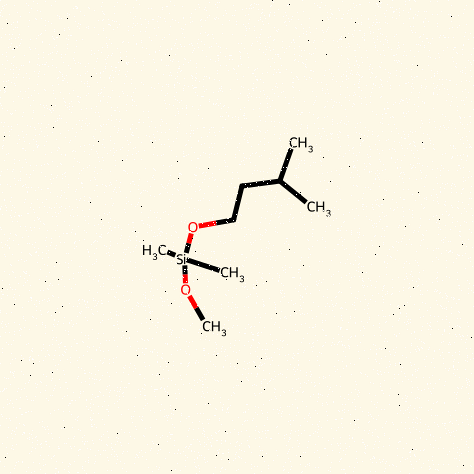 CO[Si](C)(C)OCCC(C)C